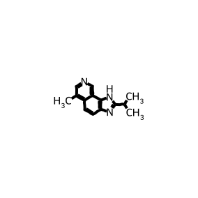 Cc1cncc2c1ccc1nc(C(C)C)[nH]c12